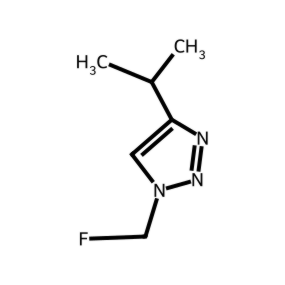 CC(C)c1cn(CF)nn1